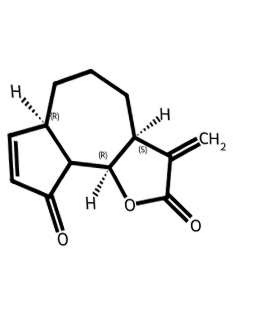 C=C1C(=O)O[C@H]2C3C(=O)C=C[C@H]3CCC[C@@H]12